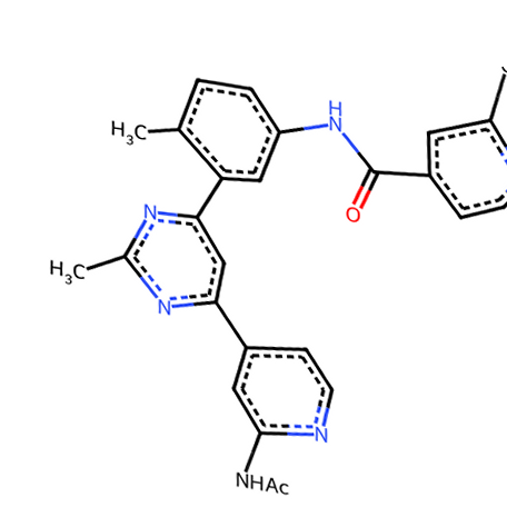 CC(=O)Nc1cc(-c2cc(-c3cc(NC(=O)c4ccnc(C(F)(F)F)c4)ccc3C)nc(C)n2)ccn1